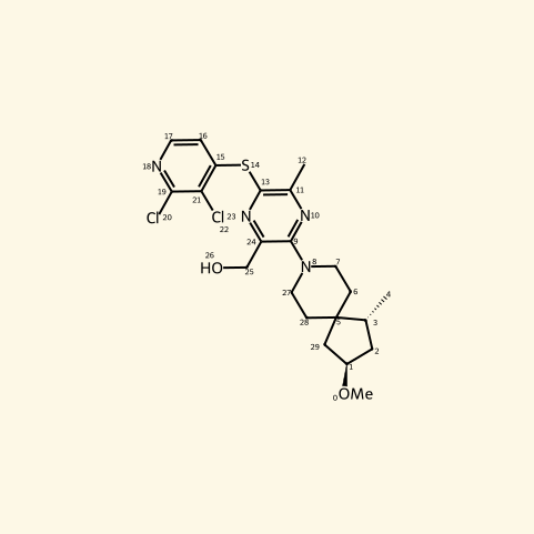 CO[C@@H]1C[C@@H](C)C2(CCN(c3nc(C)c(Sc4ccnc(Cl)c4Cl)nc3CO)CC2)C1